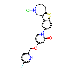 O=c1cc(OCc2ccc(F)cn2)ccn1-c1ccc2sc3c(c2c1)CN(Cl)CCC3